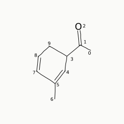 CC(=O)C1C=C(C)C=CC1